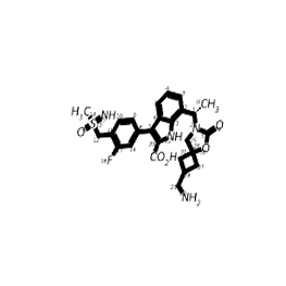 C[C@@H](c1cccc2c(-c3ccc(CS(C)(=N)=O)c(F)c3)c(C(=O)O)[nH]c12)N1CC2(CC(CN)C2)OC1=O